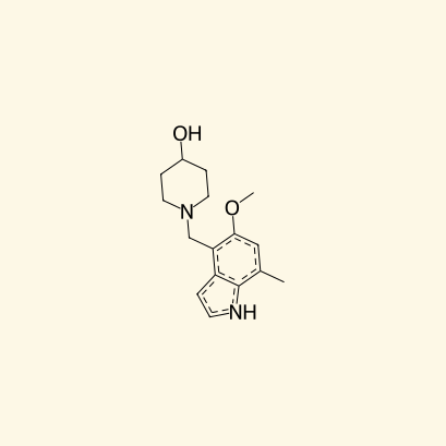 COc1cc(C)c2[nH]ccc2c1CN1CCC(O)CC1